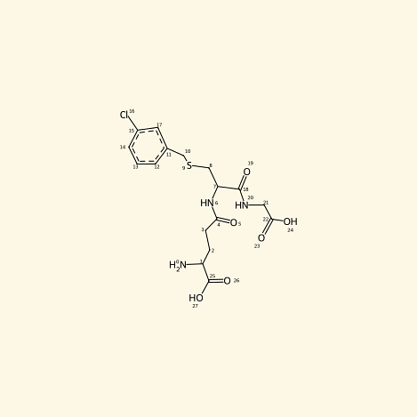 NC(CCC(=O)NC(CSCc1cccc(Cl)c1)C(=O)NCC(=O)O)C(=O)O